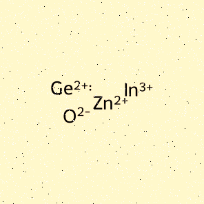 [Ge+2].[In+3].[O-2].[Zn+2]